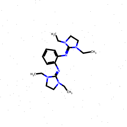 CCN1CCN(CC)C1=Nc1ccccc1N=C1N(CC)CCN1CC